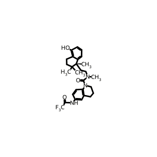 CN(CC[C@@]1(C)c2cccc(O)c2CCC1(C)C)C(=O)N1CCCc2cc(NC(=O)C(F)(F)F)ccc21